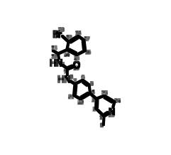 Cc1cc(-c2ccc(NC(=O)NC(C)c3ccccc3Br)cc2)ccn1